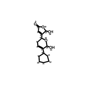 O=C1C=C(C2CC=C(C3CCCCC3)C(O)O2)C(O)O1